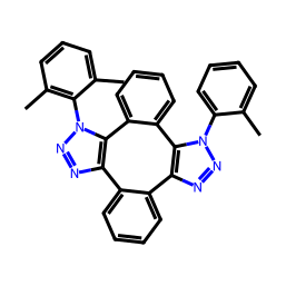 Cc1ccccc1-n1nnc2c1-c1ccccc1-c1c(nnn1-c1c(C)cccc1C)-c1ccccc1-2